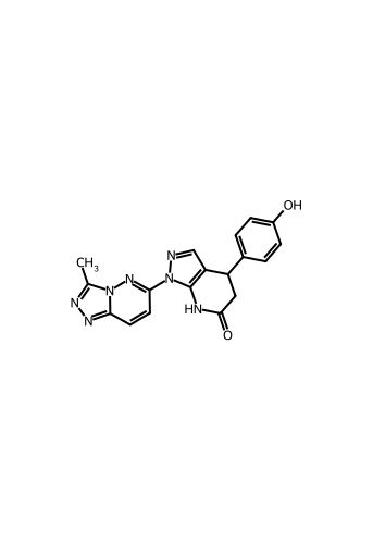 Cc1nnc2ccc(-n3ncc4c3NC(=O)CC4c3ccc(O)cc3)nn12